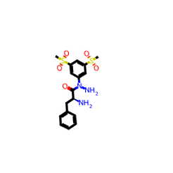 CS(=O)(=O)c1cc(N(N)C(=O)[C@@H](N)Cc2ccccc2)cc(S(C)(=O)=O)c1